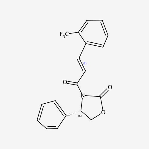 O=C(/C=C/c1ccccc1C(F)(F)F)N1C(=O)OC[C@@H]1c1ccccc1